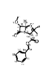 CO[C@@H]1C(=O)N2[C@@H]1SC(C)(C)[C@@H]2C(=O)OCc1ccccc1